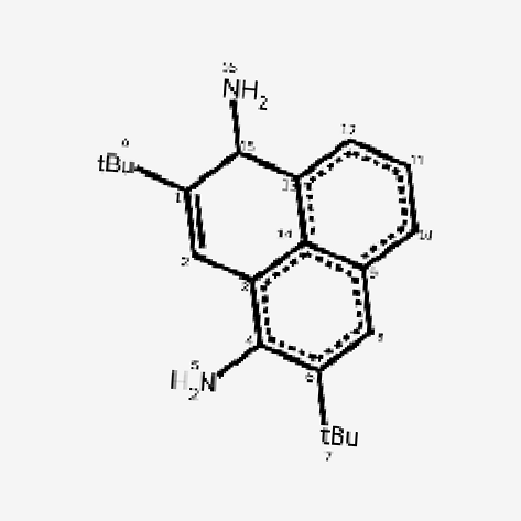 CC(C)(C)C1=Cc2c(N)c(C(C)(C)C)cc3cccc(c23)C1N